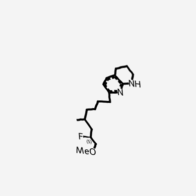 COC[C@@H](F)CC(C)CCCCc1ccc2c(n1)NCCC2